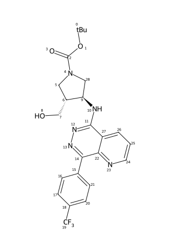 CC(C)(C)OC(=O)N1C[C@@H](CO)[C@H](Nc2nnc(-c3ccc(C(F)(F)F)cc3)c3ncccc23)C1